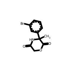 CC1(c2cccc(Br)c2)NC(=O)COC1=O